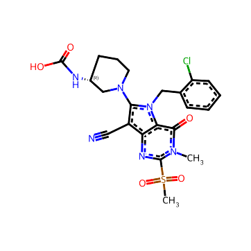 Cn1c(S(C)(=O)=O)nc2c(C#N)c(N3CCC[C@@H](NC(=O)O)C3)n(Cc3ccccc3Cl)c2c1=O